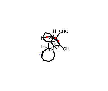 O=CC1=C[C@@]2(O)CC/C=C\CCCCN3CC[C@@H]1[C@]1(C[C@@H]4/C=C\CCCCN4[C@H]12)C3